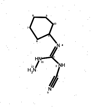 N#CNC(=NC1CCCCC1)NN